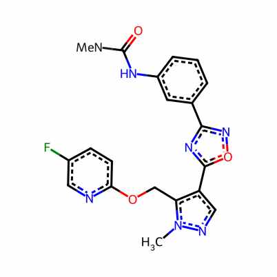 CNC(=O)Nc1cccc(-c2noc(-c3cnn(C)c3COc3ccc(F)cn3)n2)c1